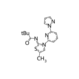 Cc1cn(-c2cccc(-n3cccn3)n2)c(=NC(=O)C(C)(C)C)s1